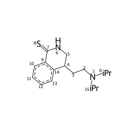 CC(C)N(CCC1CNC(=S)c2ccccc21)C(C)C